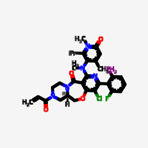 C=CC(=O)N1CCN2C(=O)c3c(N(C)c4c(C)cc(=O)n(C)c4C(C)C)nc(-c4c(F)cccc4P)c(Cl)c3OC[C@H]2C1